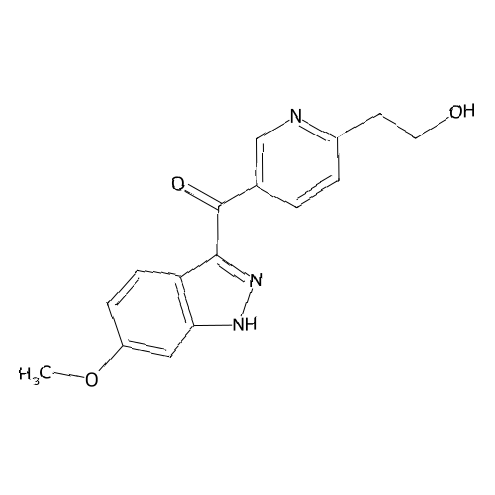 COc1ccc2c(C(=O)c3ccc(CCO)nc3)n[nH]c2c1